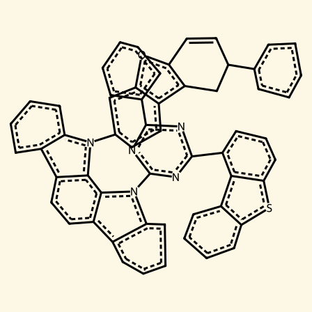 C1=CC(c2ccccc2)Cc2c1oc1cc(-n3c4ccccc4c4ccc5c6ccccc6n(-c6nc(-c7ccccc7)nc(-c7cccc8sc9ccccc9c78)n6)c5c43)ccc21